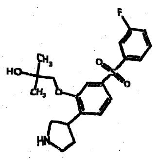 CC(C)(O)COc1cc(S(=O)(=O)c2cccc(F)c2)ccc1C1CCNC1